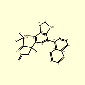 C=CCC1(C)C(=O)C(C)(C)Nc2c1cc(-c1cccc3ncccc13)c1c2OCO1